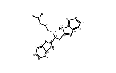 CN(C)CCCOC(Cc1cc2ccccc2[nH]1)c1cc2ccccc2[nH]1